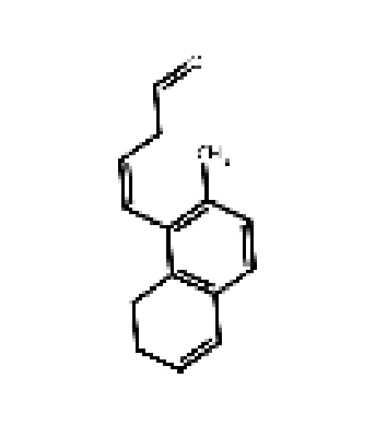 Cc1ccc2c(c1/C=C\CC=O)CCC=C2